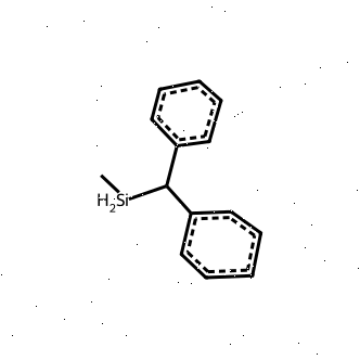 C[SiH2]C(c1ccccc1)c1ccccc1